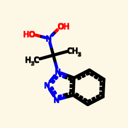 CC(C)(N(O)O)n1nnc2ccccc21